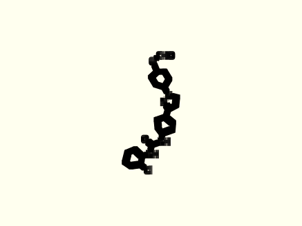 O=COC1CCC(n2ccc(-c3ccc(NC(=O)Nc4ccccc4Cl)cc3)n2)CC1